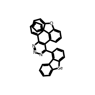 c1ccc(-c2nnnc(-c3cccc4[se]c5ccccc5c34)c2-c2cccc3oc4ccccc4c23)cc1